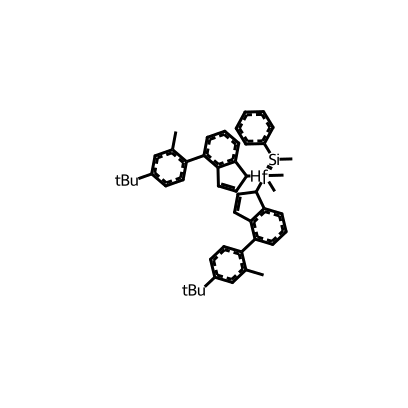 Cc1cc(C(C)(C)C)ccc1-c1cccc2c1C=C[CH]2[Hf]([CH3])([CH3])([CH]1C=Cc2c(-c3ccc(C(C)(C)C)cc3C)cccc21)=[Si](C)c1ccccc1